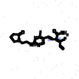 C=C/C(F)=C(\C=C\c1cnc(NCCN2CCCC2=O)nc1C)C(N)=O